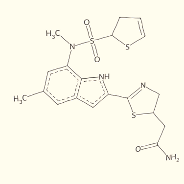 Cc1cc(N(C)S(=O)(=O)C2CC=CS2)c2[nH]c(C3=NCC(CC(N)=O)S3)cc2c1